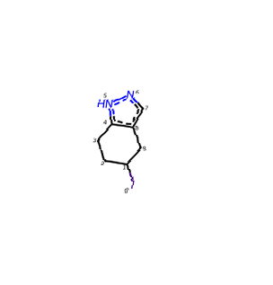 IC1CCc2[nH]ncc2C1